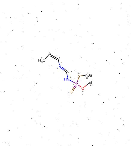 C/C=C\N=C\NP(=S)(OCC)SCCCC